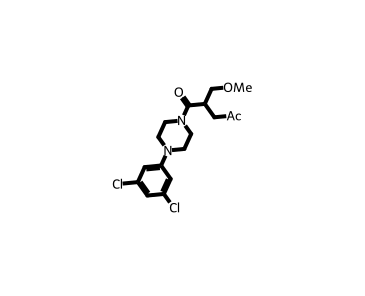 COCC(CC(C)=O)C(=O)N1CCN(c2cc(Cl)cc(Cl)c2)CC1